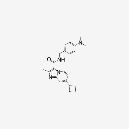 Cc1nc2cc(C3CCC3)ccn2c1C(=O)NCc1ccc(N(C)C)cc1